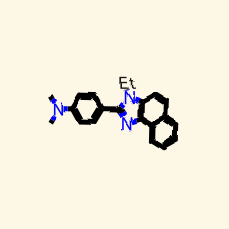 CCn1c(-c2ccc(N(C)C)cc2)nc2c3ccccc3ccc21